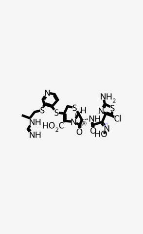 CC(CSc1cnccc1SC1=C(C(=O)O)N2C(=O)[C@@H](NC(=O)/C(=N\O)c3nc(N)sc3Cl)[C@@H]2SC1)NC=N